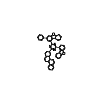 c1ccc(-c2cc(-c3nc(-c4ccc5ccc6c7ccccc7ccc6c5c4)nc(-c4cccc5oc6ccccc6c45)n3)c3c(c2)oc2ccccc23)cc1